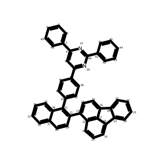 c1ccc(-c2cc(-c3ccc(-c4c(-c5ccc6c7c(cccc57)-c5ccccc5-6)ccc5ccccc45)cc3)nc(-c3ccccc3)n2)cc1